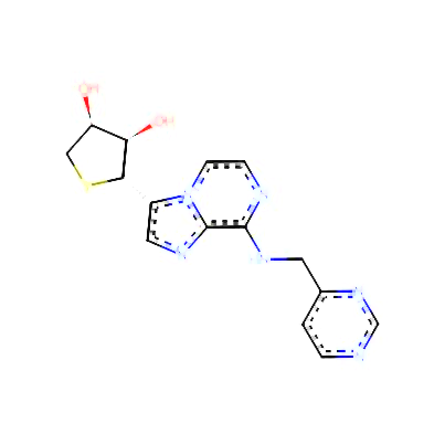 O[C@@H]1[C@H](O)CS[C@H]1c1cnc2c(NCc3ccncn3)nccn12